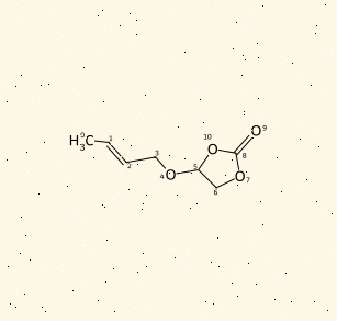 C/C=C/COC1COC(=O)O1